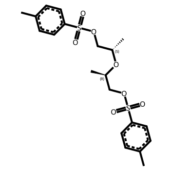 Cc1ccc(S(=O)(=O)OC[C@@H](C)O[C@@H](C)COS(=O)(=O)c2ccc(C)cc2)cc1